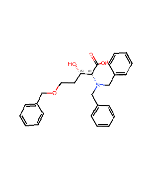 O=C(O)[C@@H]([C@@H](O)CCOCc1ccccc1)N(Cc1ccccc1)Cc1ccccc1